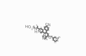 CC(NC(=O)O)c1ccc(-c2c(-c3ccc(C#N)cc3)cc(OC[C@@H]3CCCN(C)C3)c3cncn23)cn1